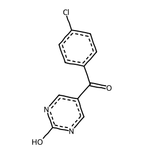 O=C(c1ccc(Cl)cc1)c1cnc(O)nc1